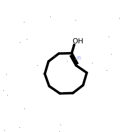 O/C1=C\CCCCCCCC1